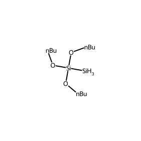 CCCCO[Si]([SiH3])(OCCCC)OCCCC